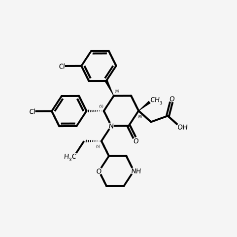 CC[C@@H](C1CNCCO1)N1C(=O)[C@@](C)(CC(=O)O)C[C@H](c2cccc(Cl)c2)[C@H]1c1ccc(Cl)cc1